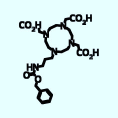 O=C(O)CN1CCN(CCCNC(=O)OCc2ccccc2)CCN(CC(=O)O)CCN(CC(=O)O)CC1